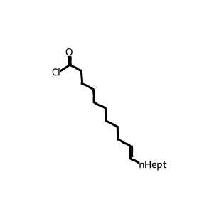 CCCCCCC/C=C/CCCCCCCCC(=O)Cl